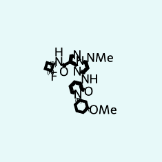 CNc1cc(Nc2cccn([C@@H]3CCC[C@@H](OC)C3)c2=O)nc2c(C(=O)N[C@@H]3CC[C@H]3F)cnn12